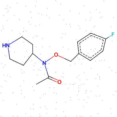 CC(=O)N(OCc1ccc(F)cc1)C1CCNCC1